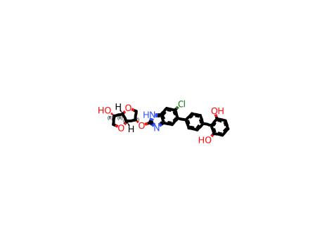 Oc1cccc(O)c1-c1ccc(-c2cc3nc(O[C@@H]4CO[C@H]5[C@@H]4OC[C@H]5O)[nH]c3cc2Cl)cc1